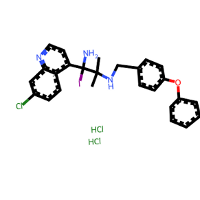 CC(C)(NCc1ccc(Oc2ccccc2)cc1)C(N)(I)c1ccnc2cc(Cl)ccc12.Cl.Cl